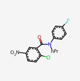 CCCN(C(=O)c1cc([N+](=O)[O-])ccc1Cl)c1ccc(F)cc1